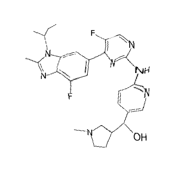 Cc1nc2c(F)cc(-c3nc(Nc4ccc(C(O)C5CCN(C)C5)cn4)ncc3F)cc2n1C(C)C